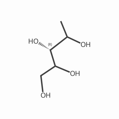 CC(O)[C@@H](O)C(O)CO